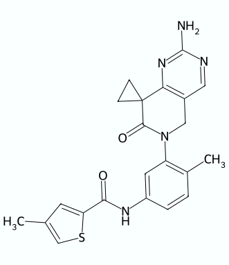 Cc1csc(C(=O)Nc2ccc(C)c(N3Cc4cnc(N)nc4C4(CC4)C3=O)c2)c1